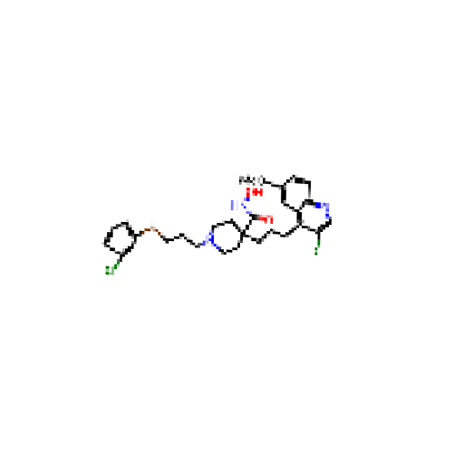 COc1ccc2ncc(Cl)c(CCCC3(C(=O)NO)CCN(CCCSc4cccc(Cl)c4)CC3)c2c1